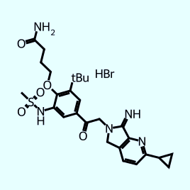 Br.CC(C)(C)c1cc(C(=O)CN2Cc3ccc(C4CC4)nc3C2=N)cc(NS(C)(=O)=O)c1OCCCC(N)=O